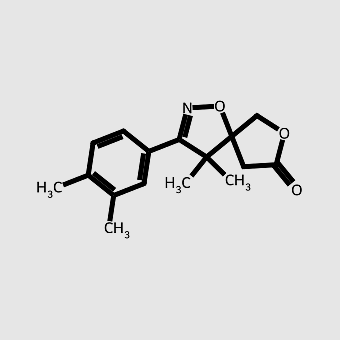 Cc1ccc(C2=NOC3(COC(=O)C3)C2(C)C)cc1C